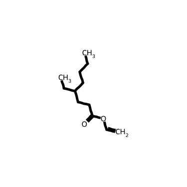 C=COC(=O)CCC(CC)CCCC